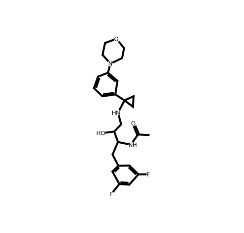 CC(=O)NC(Cc1cc(F)cc(F)c1)C(O)CNC1(c2cccc(N3CCOCC3)c2)CC1